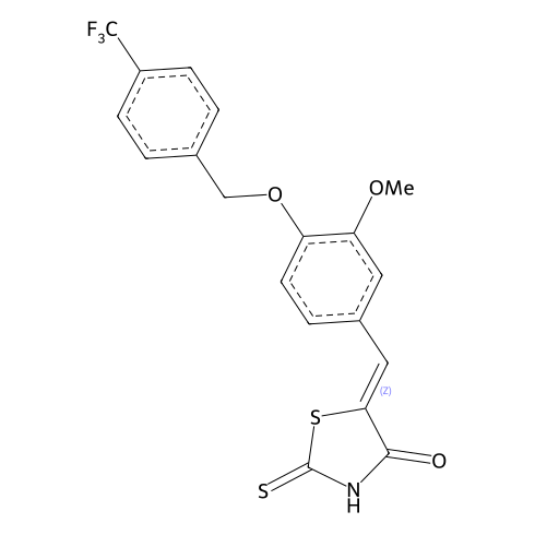 COc1cc(/C=C2\SC(=S)NC2=O)ccc1OCc1ccc(C(F)(F)F)cc1